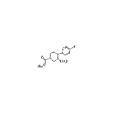 CC(C)(C)OC(=O)N1CCC(c2ccc(F)cc2)=C(C(=O)O)C1